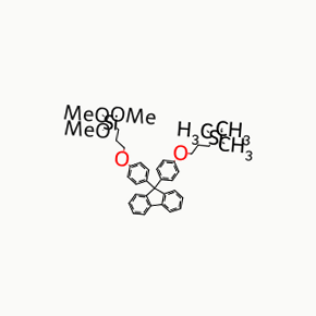 CO[Si](CCCOc1ccc(C2(c3ccc(OCCC[Si](C)(C)C)cc3)c3ccccc3-c3ccccc32)cc1)(OC)OC